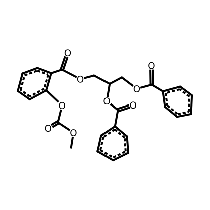 COC(=O)Oc1ccccc1C(=O)OCC(COC(=O)c1ccccc1)OC(=O)c1ccccc1